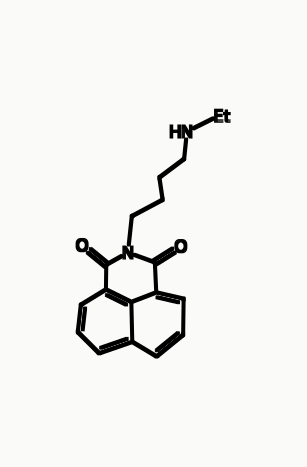 CCNCCCCN1C(=O)c2cccc3cccc(c23)C1=O